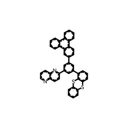 c1ccc2c(c1)Sc1cccc(-c3cc(-c4ccc5c6ccccc6c6ccccc6c5c4)cc(-c4ccc5ncccc5n4)c3)c1S2